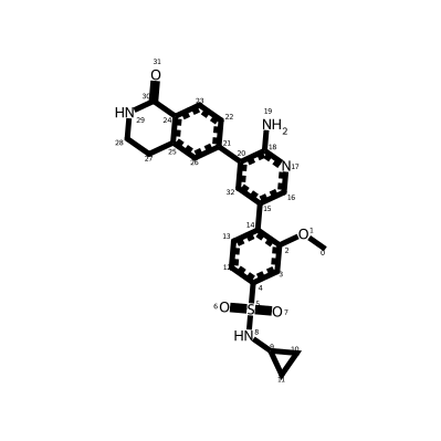 COc1cc(S(=O)(=O)NC2CC2)ccc1-c1cnc(N)c(-c2ccc3c(c2)CCNC3=O)c1